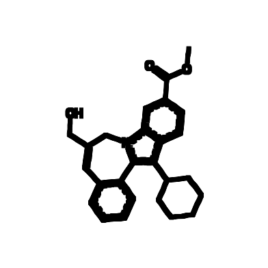 COC(=O)c1ccc2c(C3CCCCC3)c3n(c2c1)CC(CO)=Cc1ccccc1-3